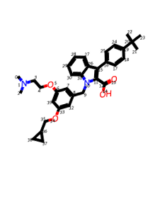 CN(C)CCOc1cc(Cn2c(C(=O)O)c(-c3ccc(C(C)(C)C)cc3)c3ccccc32)cc(OCC2CC2)c1